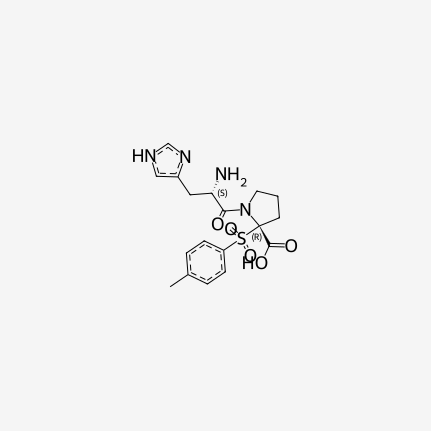 Cc1ccc(S(=O)(=O)[C@@]2(C(=O)O)CCCN2C(=O)[C@@H](N)Cc2c[nH]cn2)cc1